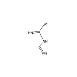 CC(C)C(=N)NC=N